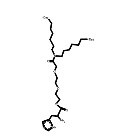 CCCCCCCCCCCCCCCCN(CCCCCCCCCCCCCCCC)C(=O)COCCOCCOC(=O)C(N)Cc1cnc[nH]1